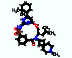 CC(C)C[C@@H]1COc2cc(C3CCCCC3(C)C)nc(n2)NS(=O)(=O)c2cccc(c2)C(=O)N1C1CC2(CCN(C)CC2)C1